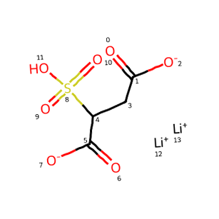 O=C([O-])CC(C(=O)[O-])S(=O)(=O)O.[Li+].[Li+]